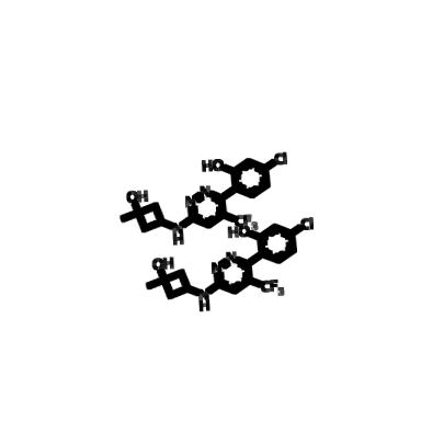 CC1(O)CC(Nc2cc(C(F)(F)F)c(-c3ccc(Cl)cc3O)nn2)C1.CC1(O)CC(Nc2cc(C(F)(F)F)c(-c3ccc(Cl)cc3O)nn2)C1